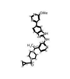 COc1cc(-c2ccc3nc(Nc4cc([C@H](C)N5CCN(C(=O)C6CC6)CC5)ccn4)[nH]c3c2)ncn1